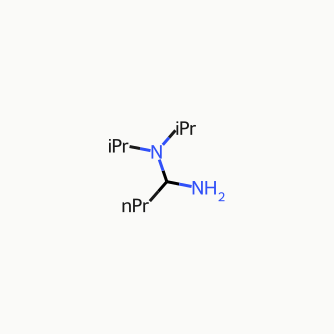 CCCC(N)N(C(C)C)C(C)C